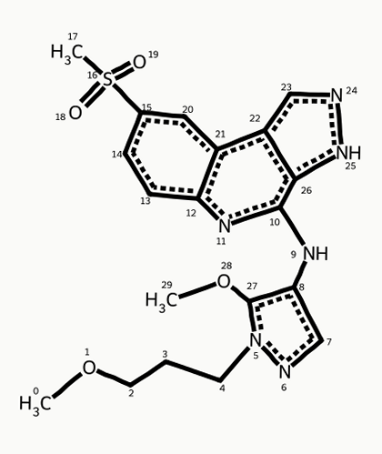 COCCCn1ncc(Nc2nc3ccc(S(C)(=O)=O)cc3c3cn[nH]c23)c1OC